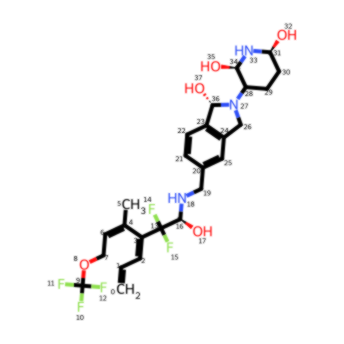 C=C/C=C(\C(C)=C/COC(F)(F)F)C(F)(F)[C@H](O)NCc1ccc2c(c1)CN(C1CC[C@H](O)N[C@@H]1O)[C@H]2O